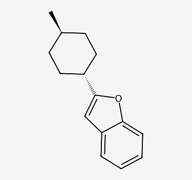 C[C@H]1CC[C@H](c2cc3ccccc3o2)CC1